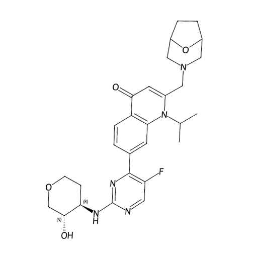 CC(C)n1c(CN2CC3CCC(C2)O3)cc(=O)c2ccc(-c3nc(N[C@@H]4CCOC[C@H]4O)ncc3F)cc21